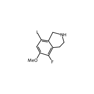 COc1cc(I)c2c(c1F)CCNC2